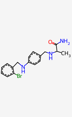 CC(NCc1ccc(NCc2ccccc2Br)cc1)C(N)=O